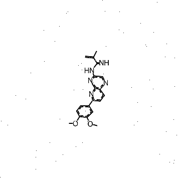 C=C(C)C(=N)Nc1cnc2ccc(-c3ccc(OC)c(OC)c3)nc2n1